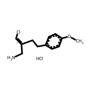 COc1ccc(CC/C(=C\Cl)CN)cc1.Cl